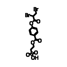 O=C(OCCS(=O)(=O)O)c1ccc(OC(=O)C(Br)CBr)cc1